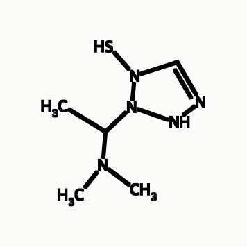 CC(N(C)C)N1NN=CN1S